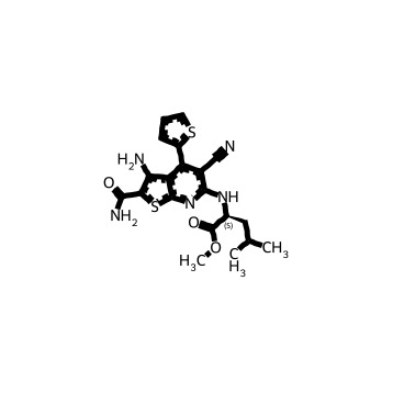 COC(=O)[C@H](CC(C)C)Nc1nc2sc(C(N)=O)c(N)c2c(-c2cccs2)c1C#N